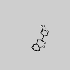 NC1=NC(C(=O)Cc2ccccc2Cl)CO1